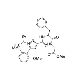 COC(=O)CNC(=O)[C@H](Cc1ccccc1)NC(=O)c1cc(-c2c(OC)cccc2OC)n(C(C)C(C)C)n1